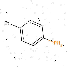 CCc1ccc(P)cc1